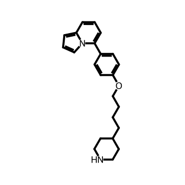 c1cc(-c2ccc(OCCCCC3CCNCC3)cc2)n2cccc2c1